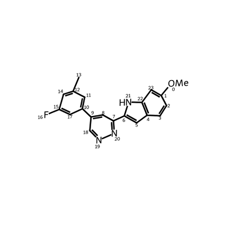 COc1ccc2cc(-c3cc(-c4cc(C)cc(F)c4)cnn3)[nH]c2c1